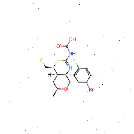 C[C@H]1C[C@H]2[C@@H](CF)SC(NC(=O)O)=N[C@@]2(c2cc(Br)ccc2F)CO1